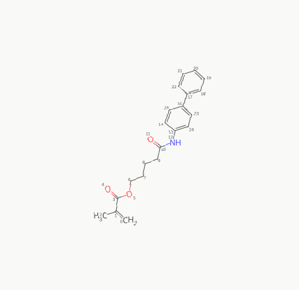 C=C(C)C(=O)OCCCCC(=O)Nc1ccc(-c2ccccc2)cc1